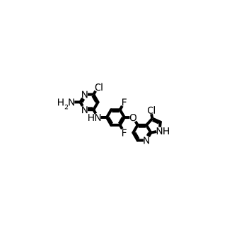 Nc1nc(Cl)cc(Nc2cc(F)c(Oc3ccnc4[nH]cc(Cl)c34)c(F)c2)n1